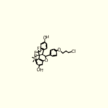 C[Si](C)(C)OC1(C(F)(F)F)c2ccc(O)cc2OC(c2ccc(OCCCCl)cc2)C1c1ccc(O)cc1